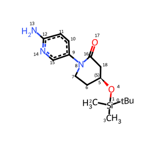 CC(C)(C)[Si](C)(C)O[C@H]1CCN(c2ccc(N)nc2)C(=O)C1